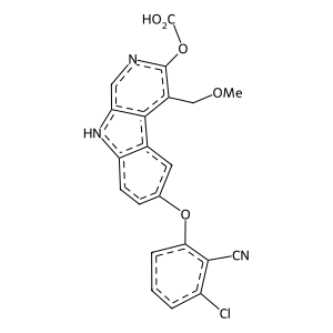 COCc1c(OC(=O)O)ncc2[nH]c3ccc(Oc4cccc(Cl)c4C#N)cc3c12